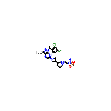 CC(c1ccc(Cl)cc1Cl)n1nc(C(F)(F)F)c2ncc(N3CC(C4CCCN(CCNS(C)(=O)=O)C4)C3)nc21